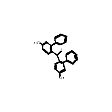 Oc1ccc(C(CI)c2ccc(O)cc2-c2ccccc2)c(-c2ccccc2)c1